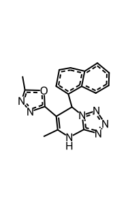 CC1=C(c2nnc(C)o2)C(c2cccc3ccccc23)n2nnnc2N1